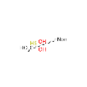 CCCCCCCCCCCCCCC(O)C(O)C(S)CC(=O)O